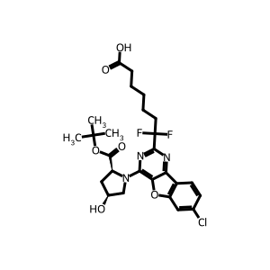 CC(C)(C)OC(=O)[C@@H]1C[C@H](O)CN1c1nc(C(F)(F)CCCCCC(=O)O)nc2c1oc1cc(Cl)ccc12